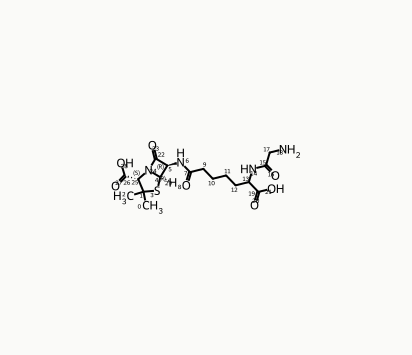 CC1(C)S[C@@H]2[C@H](NC(=O)CCCCC(NC(=O)CN)C(=O)O)C(=O)N2[C@H]1C(=O)O